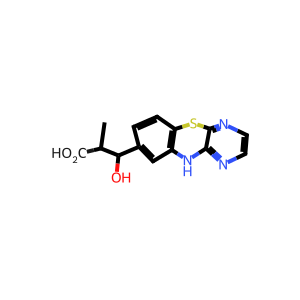 CC(C(=O)O)C(O)c1ccc2c(c1)Nc1nccnc1S2